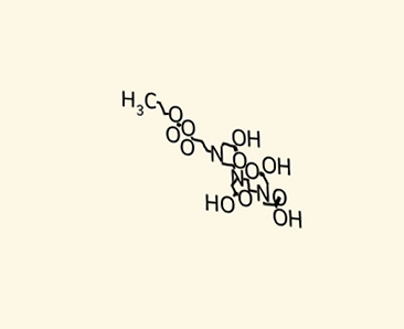 CCCOC(=O)OC(=O)CCN(CCN(CCN(CC(=O)O)CC(=O)O)CC(=O)O)CC(=O)O